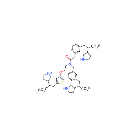 O=C(O)C(Cc1cccc(CC(=O)N(CCOc2csc(CC(C(=O)O)C3CCNC3)c2)Cc2cccc(CC(C(=O)O)C3CCNC3)c2)c1)C1CCNC1